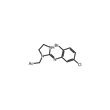 CC(=O)CN1CCN/C1=N\c1cc(Cl)ccc1Br